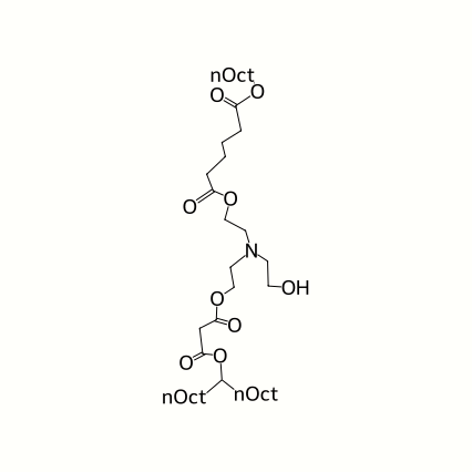 CCCCCCCCOC(=O)CCCCC(=O)OCCN(CCO)CCOC(=O)CC(=O)OC(CCCCCCCC)CCCCCCCC